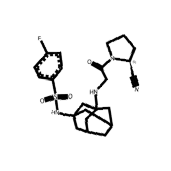 N#C[C@@H]1CCCN1C(=O)CNC12CC3CC(C1)CC(NS(=O)(=O)c1ccc(F)cc1)(C3)C2